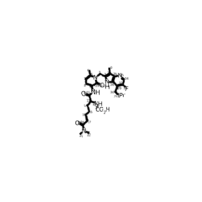 Cc1c(Cn2c(C)ccc(NC(=O)C(CC/C=C/C(=O)N(C)C)NC(=O)O)c2=O)[nH]c2c(CC(C)C)c(F)cnc12